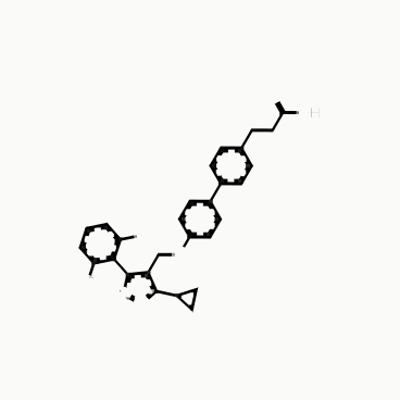 O=C(O)CCc1ccc(-c2ccc(OCc3c(-c4c(Cl)cccc4Cl)noc3C3CC3)cc2)cc1